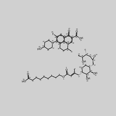 C/C(=C\C(=O)OCCCCCCCCC(=O)O)C[C@@H]1OC[C@H](C[C@@H]2O[C@H]2[C@@H](C)[C@H](C)O)[C@@H](O)[C@H]1O.CC1CCc2c(N3CCC(O)CC3)c(F)cc3c(=O)c(C(=O)O)cn1c23